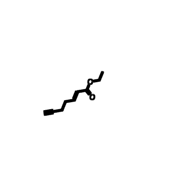 C#CCCC=CC(=O)OCC